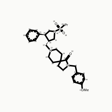 COc1ccc(CN2CCC3(CCN(C[C@H]4CN(S(=O)(=O)C(C)C)C[C@@H]4c4ccccc4)CC3)C2=O)cc1